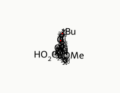 COCCOC(=O)[N+]1(C(=O)NCC(C(=O)O)c2ccc(-c3ccccc3)cc2)CCc2ccc(Oc3ccc(C(C)(C)C)cc3)cc2C1